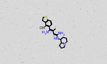 CC(/C=C(\N)NC1CCCN2CCCC12)=C(/N)c1ccc2c(c1N=O)CCS2